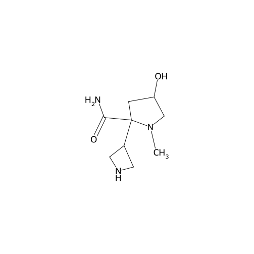 CN1CC(O)CC1(C(N)=O)C1CNC1